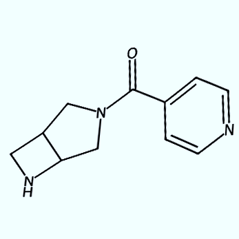 O=C(c1ccncc1)N1CC2CNC2C1